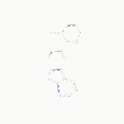 O=C(O)C(=Cc1c[nH]c2ncccc12)c1ccccc1Cl